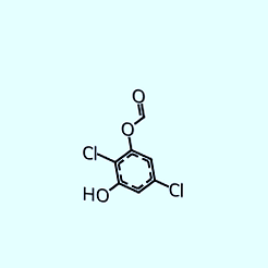 O=COc1cc(Cl)cc(O)c1Cl